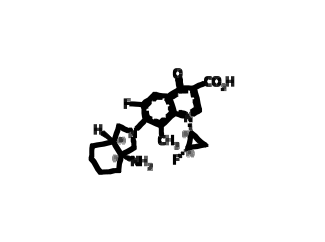 Cc1c(N2C[C@H]3CCCC[C@@]3(N)C2)c(F)cc2c(=O)c(C(=O)O)cn([C@@H]3C[C@@H]3F)c12